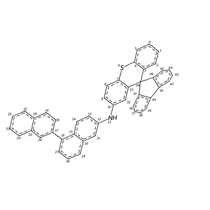 c1ccc2c(c1)Sc1ccc(Nc3ccc4c(-c5ccc6ccccc6c5)cccc4c3)cc1C21c2ccccc2-c2ccccc21